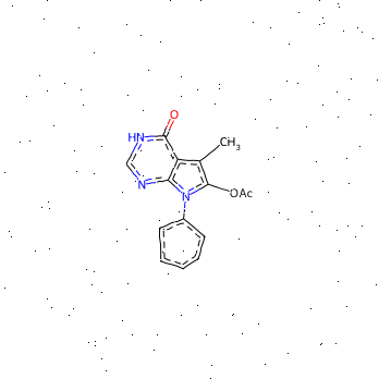 CC(=O)Oc1c(C)c2c(=O)[nH]cnc2n1-c1ccccc1